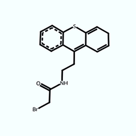 O=C(CBr)NCCC1=C2C=CCC=C2Sc2ccccc21